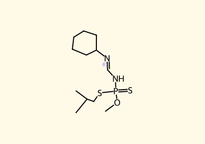 COP(=S)(N/C=N/C1CCCCC1)SCC(C)C